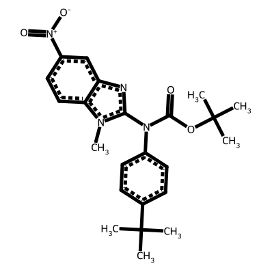 Cn1c(N(C(=O)OC(C)(C)C)c2ccc(C(C)(C)C)cc2)nc2cc([N+](=O)[O-])ccc21